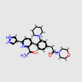 NC(=O)c1nc(-c2cn[nH]c2)ccc1-c1ccc(CC(=O)N2CCOCC2)cc1N1CCCCC1